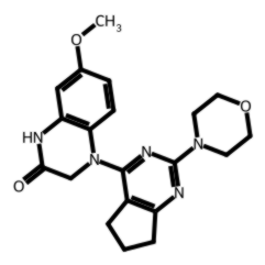 COc1ccc2c(c1)NC(=O)CN2c1nc(N2CCOCC2)nc2c1CCC2